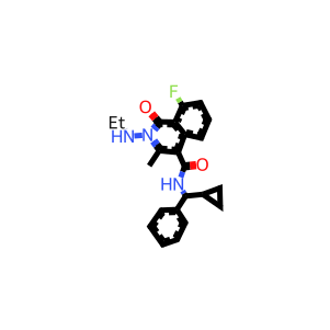 CCNn1c(C)c(C(=O)NC(c2ccccc2)C2CC2)c2cccc(F)c2c1=O